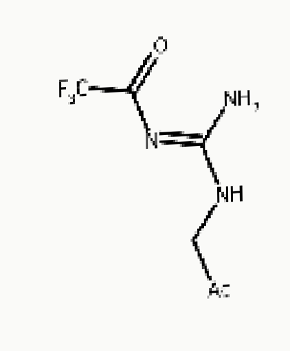 CC(=O)CNC(N)=NC(=O)C(F)(F)F